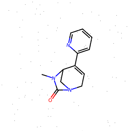 CN1C(=O)N2CC=C(c3ccccn3)C1C2